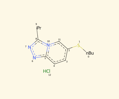 CCCCSc1ccc2nnc(C(C)C)n2c1.Cl